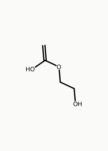 [CH]=C(O)OCCO